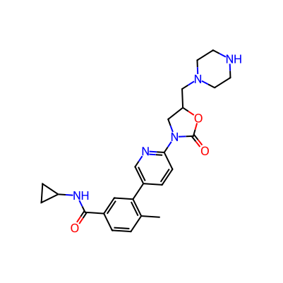 Cc1ccc(C(=O)NC2CC2)cc1-c1ccc(N2CC(CN3CCNCC3)OC2=O)nc1